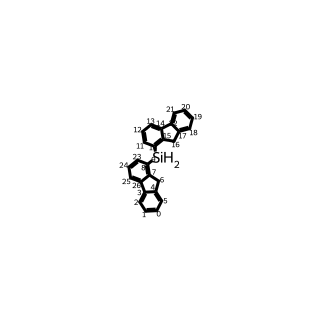 c1ccc2c(c1)Cc1c([SiH2]c3cccc4c3Cc3ccccc3-4)cccc1-2